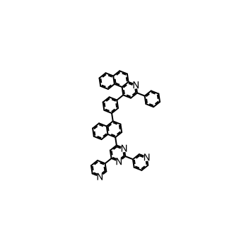 c1ccc(-c2cc(-c3cccc(-c4ccc(-c5cc(-c6cccnc6)nc(-c6cccnc6)n5)c5ccccc45)c3)c3c(ccc4ccccc43)n2)cc1